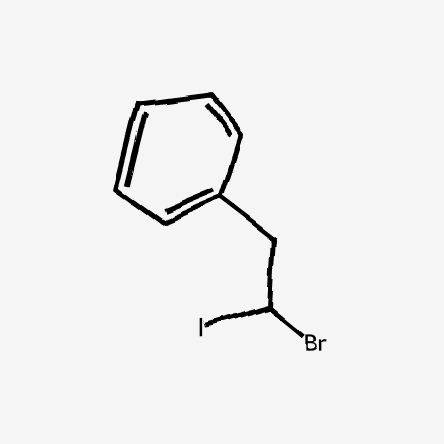 BrC(I)Cc1ccccc1